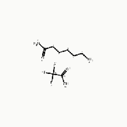 NCCCCCC(N)=O.O=C(O)C(F)(F)F